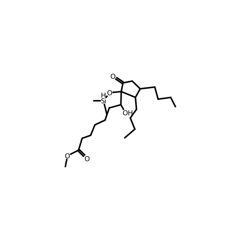 CCCCC1CC(=O)C(O[SiH](C)C)(C(O)CCCCCC(=O)OC)C1CCCC